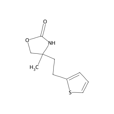 CC1(CCc2cccs2)COC(=O)N1